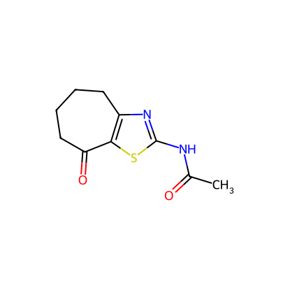 CC(=O)Nc1nc2c(s1)C(=O)CCCC2